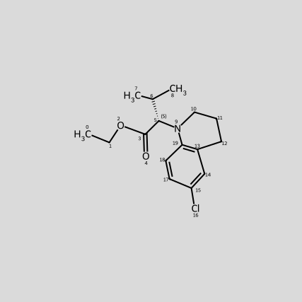 CCOC(=O)[C@H](C(C)C)N1CCCc2cc(Cl)ccc21